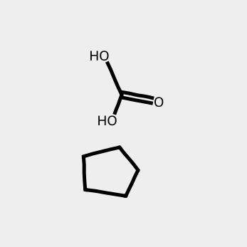 C1CCCC1.O=C(O)O